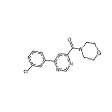 O=C(c1cc(-c2cccc(Cl)c2)ncn1)N1CCOCC1